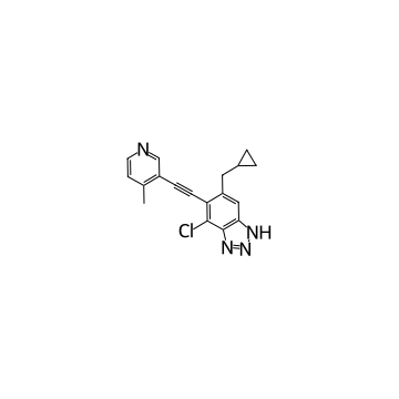 Cc1ccncc1C#Cc1c(CC2CC2)cc2[nH]nnc2c1Cl